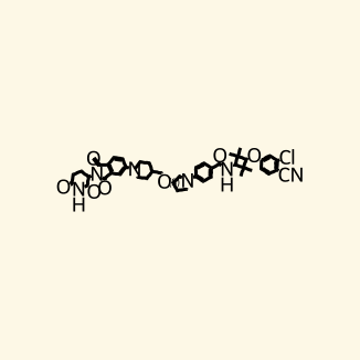 CC1(C)[C@H](NC(=O)c2ccc(N3CC[C@H](OCC4CCN(c5ccc6c(c5)C(=O)N(C5CCC(=O)NC5=O)C6=O)CC4)C3)cc2)C(C)(C)[C@H]1Oc1ccc(C#N)c(Cl)c1